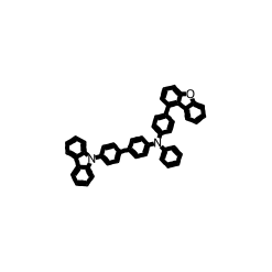 c1ccc(N(c2ccc(-c3ccc(-n4c5ccccc5c5ccccc54)cc3)cc2)c2ccc(-c3cccc4oc5ccccc5c34)cc2)cc1